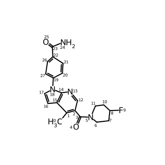 Cc1c(C(=O)N2CCC(F)CC2)cnc2c1ccn2-c1ccc(C(N)=O)cc1